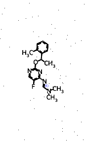 Cc1ccccc1C(C)Oc1ncc(F)c(/N=C/N(C)C)n1